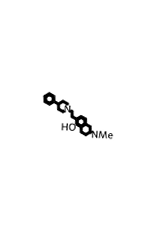 CNC1CCc2c(ccc(CCN3CCC(c4ccccc4)CC3)c2O)C1